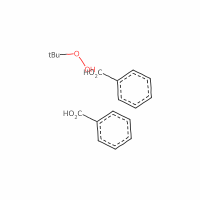 CC(C)(C)OO.O=C(O)c1ccccc1.O=C(O)c1ccccc1